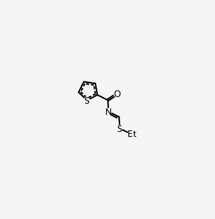 CCSC=NC(=O)c1cccs1